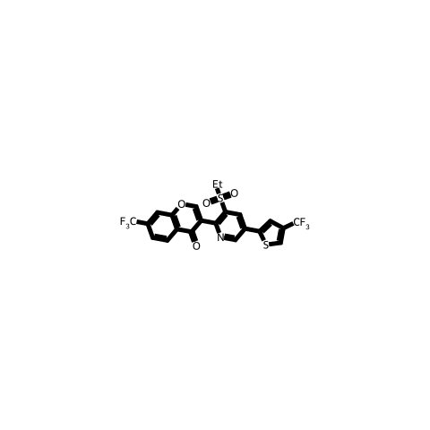 CCS(=O)(=O)c1cc(-c2cc(C(F)(F)F)cs2)cnc1-c1coc2cc(C(F)(F)F)ccc2c1=O